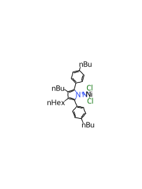 CCCCCCC1=C(c2ccc(CCCC)cc2)[N+](=[N-])C(c2ccc(CCCC)cc2)=C1CCCC.[Cl][Ni][Cl]